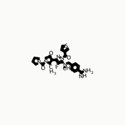 CC1C(c2nn(C(=O)c3ccsc3)c(N(C)Cc3ccc(C(=N)N)cc3)c2F)C(=O)CN1C(=O)N1CCCC1